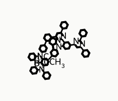 CC(C)(C)c1ccc2c(c1)c1ccccc1n2-c1ccc(-c2cc(-c3ccccc3)nc(-c3ccccc3)n2)cc1-c1nc(-c2ccccc2)cc(-c2cccc(-c3ccc(N4c5ccccc5B5c6ccccc6N(c6ccccc6)c6cccc4c65)cc3)c2)n1